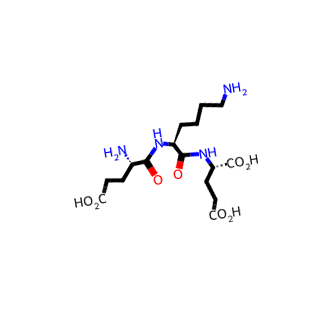 NCCCC[C@H](NC(=O)[C@@H](N)CCC(=O)O)C(=O)N[C@@H](CCC(=O)O)C(=O)O